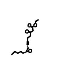 CCCCC[C@@H]1O[C@H]1C#CCCC(=O)CC(=O)OCC